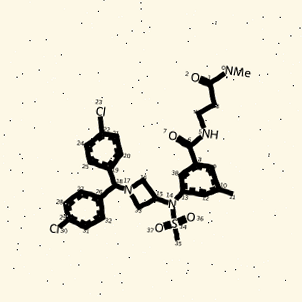 CNC(=O)CCNC(=O)c1cc(C)cc(N(C2CN(C(c3ccc(Cl)cc3)c3ccc(Cl)cc3)C2)S(C)(=O)=O)c1